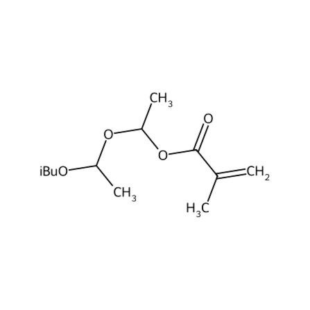 C=C(C)C(=O)OC(C)OC(C)OCC(C)C